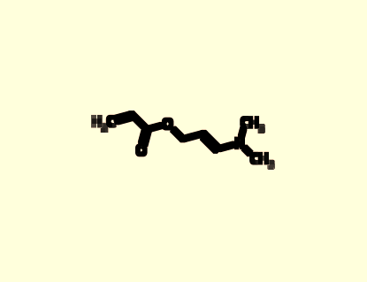 C=CC(=O)OCC=CN(C)C